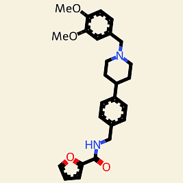 COc1ccc(CN2CCC(c3ccc(CNC(=O)c4ccco4)cc3)CC2)cc1OC